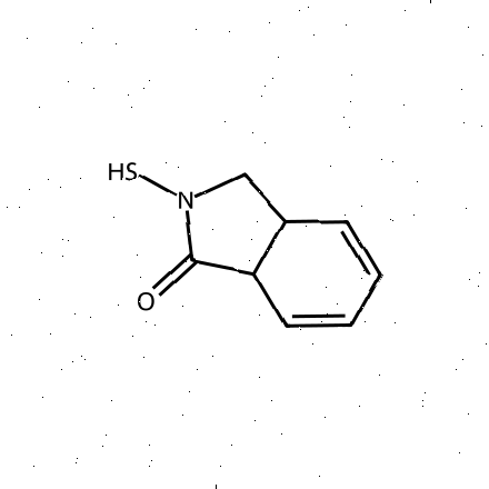 O=C1C2C=CC=CC2CN1S